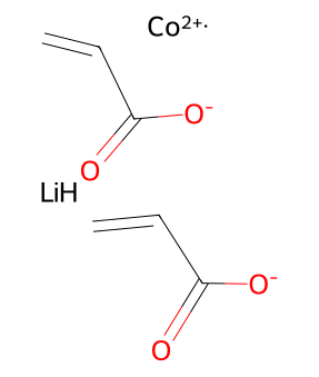 C=CC(=O)[O-].C=CC(=O)[O-].[Co+2].[LiH]